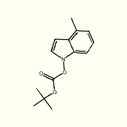 Cc1cccc2c1ccn2OC(=O)OC(C)(C)C